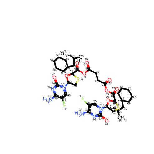 CC(C)CC1([C@@]2(C(=O)OC(=O)CCC(=O)OC(=O)[C@]3(C4(CC(C)C)CCCCC4)O[C@H](n4cc(F)c(N)nc4=O)CS3)O[C@H](n3cc(F)c(N)nc3=O)CS2)CCCCC1